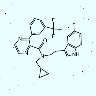 O=C(c1nccnc1-c1cccc(C(F)(F)F)c1)N(CCc1c[nH]c2ccc(F)cc12)CC1CC1